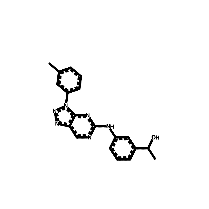 Cc1cccc(-n2nnc3cnc(Nc4cccc(C(C)O)c4)nc32)c1